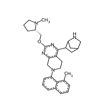 Cc1cccc2cccc(N3CCc4c(nc(OC[C@@H]5CCCN5C)nc4C4CC5CNC4C5)C3)c12